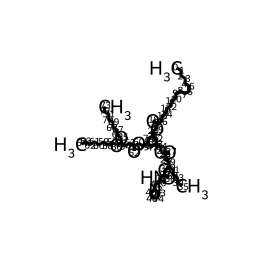 CCCCC/C=C\C/C=C\CCCCCCCC(=O)OCc1cc(COC(=O)CCC(CCCCC)OC(=O)NCCN2CCCC2)cc(COC(=O)CCC(OCCCCCCCC)OCCCCCCCC)c1